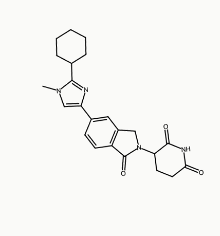 Cn1cc(-c2ccc3c(c2)CN(C2CCC(=O)NC2=O)C3=O)nc1C1CCCCC1